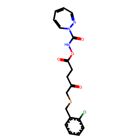 O=C(CCC(=O)ONC(=O)N1C=CC=CC=N1)CSCc1ccccc1Cl